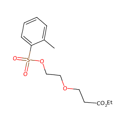 CCOC(=O)CCOCCOS(=O)(=O)c1ccccc1C